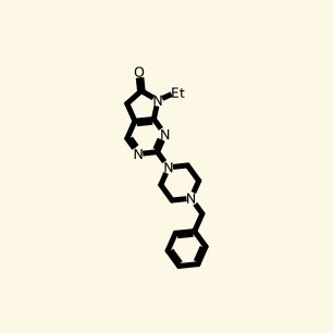 CCN1C(=O)Cc2cnc(N3CCN(Cc4ccccc4)CC3)nc21